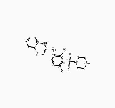 O=C(Nc1ccccc1Br)Nc1ccc(Cl)c(S(=O)(=O)N2CCNCC2)c1O